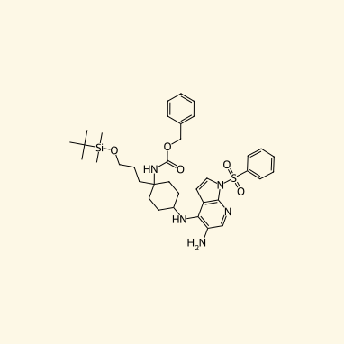 CC(C)(C)[Si](C)(C)OCCCC1(NC(=O)OCc2ccccc2)CCC(Nc2c(N)cnc3c2ccn3S(=O)(=O)c2ccccc2)CC1